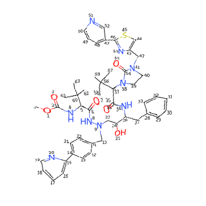 COC(=O)NC(C(=O)NN(Cc1ccc(-c2ccccn2)cc1)CC(O)C(Cc1ccccc1)NC(=O)C(N1CCN(Cc2csc(-c3cccnc3)n2)C1=O)C(C)(C)C)C(C)(C)C